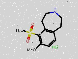 COc1ccc2c(c1S(C)(=O)=O)CCNCC2.Cl